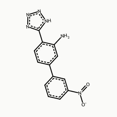 Nc1cc(-c2cccc([N+](=O)[O-])c2)ccc1-c1nnn[nH]1